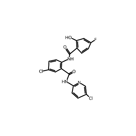 O=C(Nc1ccc(Cl)cc1C(=O)Nc1ccc(Cl)cn1)c1ccc(F)cc1O